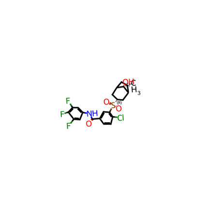 C[C@H]1CC2C[C@@H](S(=O)(=O)c3cc(C(=O)Nc4cc(F)c(F)c(F)c4)ccc3Cl)CC1C2O